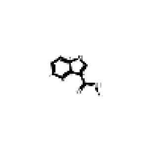 CCNC(=O)c1csc2ccccc12